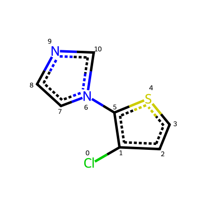 Clc1ccsc1-n1ccnc1